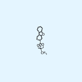 CC12COC(c3ccc4c(c3)oc3ccccc34)(OC1)OC2